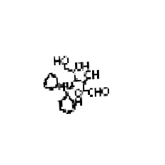 O=CC(O)C(O)C(O)C(O)CO.c1ccc(Pc2ccccc2)cc1